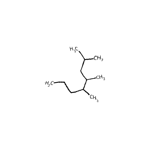 [CH2]CCC(C)C(C)CC(C)C